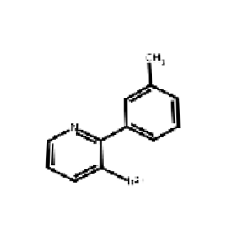 Cc1cccc(-c2nccc[c]2[Ir+2])c1